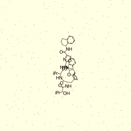 CC(C)[C@H](O)C(=O)N[C@H]1Cc2ccc3c(c2)[C@@]2(c4ccccc4NC2O3)c2oc(nc2-c2nc(C(=O)N[C@@H]3CCCc4ccccc43)co2)[C@H](C(C)C)NC1=O